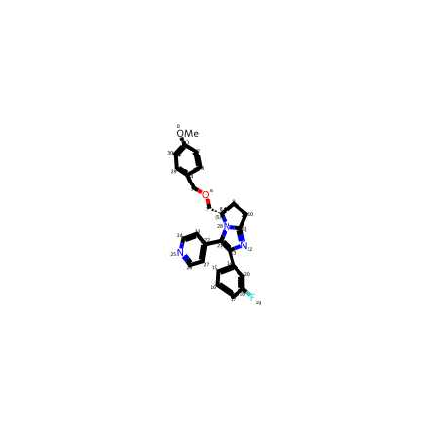 COc1ccc(COC[C@@H]2CCc3nc(-c4cccc(F)c4)c(-c4ccncc4)n32)cc1